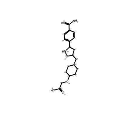 N=C(N)c1ccc(C2CC(CN3CCC(OCC(=O)O)CC3)ON2)cc1